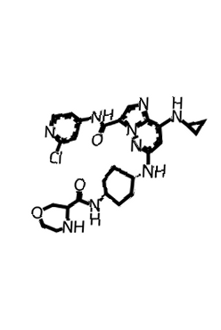 O=C(Nc1ccnc(Cl)c1)c1cnc2c(NC3CC3)cc(N[C@H]3CC[C@H](NC(=O)C4COCCN4)CC3)nn12